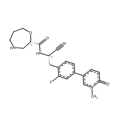 Cn1cc(-c2ccc(C[C@@H](C#N)NC(=O)[C@@H]3CNCCCO3)c(F)c2)ccc1=O